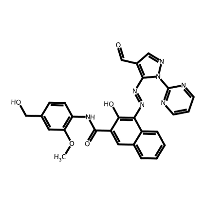 COc1cc(CO)ccc1NC(=O)c1cc2ccccc2c(/N=N/c2c(C=O)cnn2-c2ncccn2)c1O